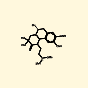 CCCCC1(O)CN2C(c3cc(OC)c(OC)cc3C[C@H]2C(C)(C)C)C(CO[SiH](OC)OC)C1=O